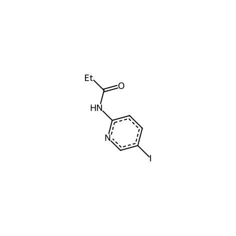 CCC(=O)Nc1ccc(I)cn1